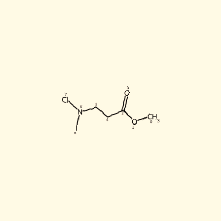 COC(=O)CCN(Cl)I